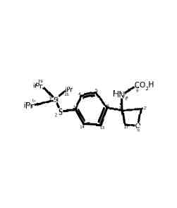 CC(C)[Si](Sc1ccc(C2(NC(=O)O)COC2)cc1)(C(C)C)C(C)C